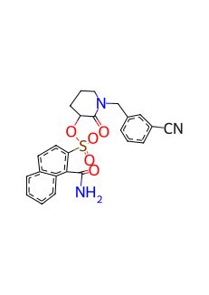 N#Cc1cccc(CN2CCCC(OS(=O)(=O)c3ccc4ccccc4c3C(N)=O)C2=O)c1